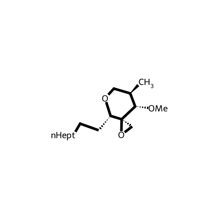 CCCCCCCCC[C@@H]1OC[C@@H](C)[C@H](OC)[C@]12CO2